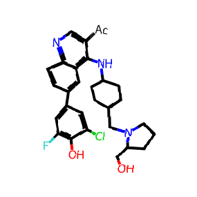 CC(=O)c1cnc2ccc(-c3cc(F)c(O)c(Cl)c3)cc2c1NC1CCC(CN2CCCC2CO)CC1